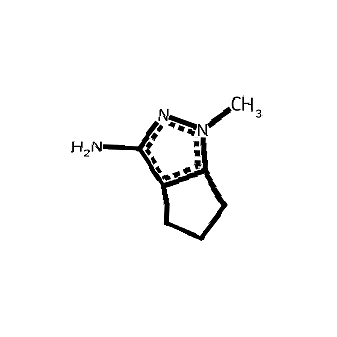 Cn1nc(N)c2c1CCC2